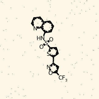 O=S(=O)(Nc1cccc2cccnc12)c1ccc(-c2cc(C(F)(F)F)on2)s1